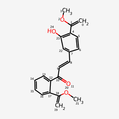 C=C(OC)c1ccc(/C=C/C(=O)c2ccccc2C(=C)OC)cc1O